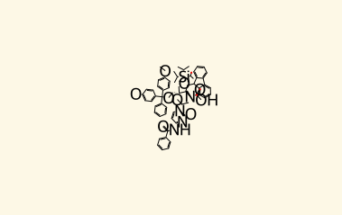 COc1ccc(C(OC[C@@]2(CO[Si](C(C)C)(C(C)C)C(C)C)O[C@@H](n3ccc(NC(=O)c4ccccc4)nc3=O)CN(C(=O)O)C2CC2c3ccccc3-c3ccccc32)(c2ccccc2)c2ccc(OC)cc2)cc1